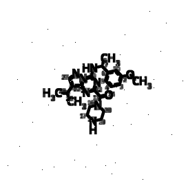 COc1cccc([C@H](C)Nc2nc(C(=O)N3CCNCC3)nc3c(C(C)C)cnn23)c1